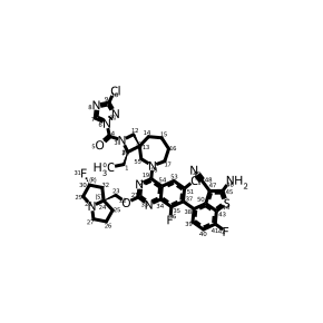 CC[C@H]1N(C(=O)n2cnc(Cl)n2)C[C@]12CCCCN(c1nc(OC[C@@]34CCCN3C[C@H](F)C4)nc3c(F)c(-c4ccc(F)c5sc(N)c(C#N)c45)c(Cl)cc13)C2